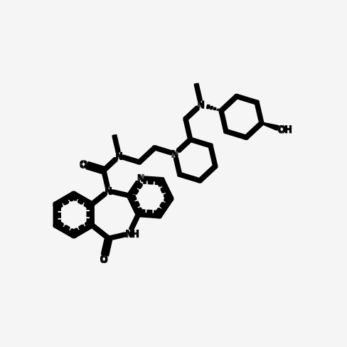 CN(CCN1CCCCC1CN(C)[C@H]1CC[C@H](O)CC1)C(=O)N1c2ccccc2C(=O)Nc2cccnc21